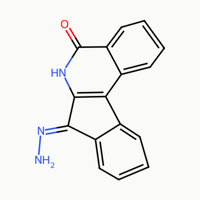 N/N=C1\c2ccccc2-c2c1[nH]c(=O)c1ccccc21